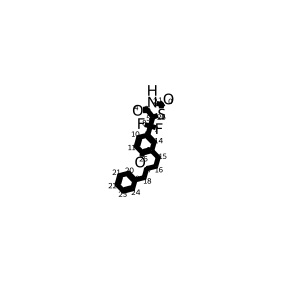 O=C1NC(=O)C(C(F)(F)c2ccc3c(c2)CCC(Cc2ccccc2)O3)S1